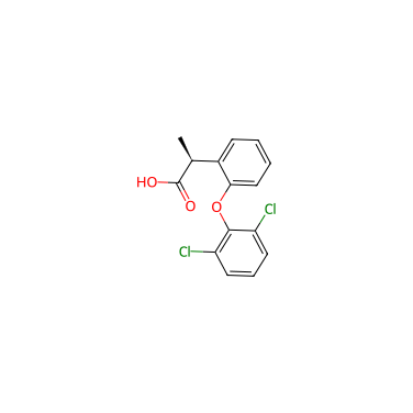 C[C@H](C(=O)O)c1ccccc1Oc1c(Cl)cccc1Cl